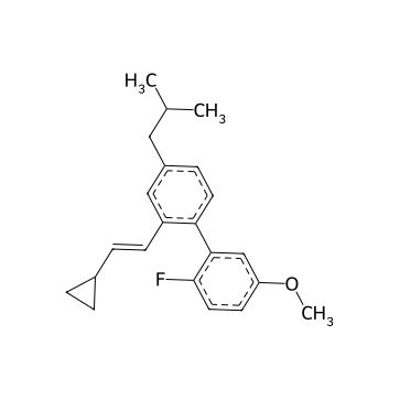 COc1ccc(F)c(-c2ccc(CC(C)C)cc2/C=C/C2CC2)c1